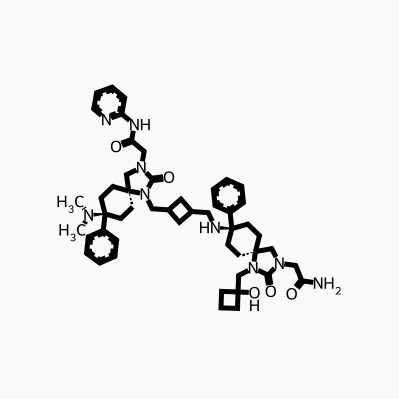 CN(C)[C@]1(c2ccccc2)CC[C@]2(CC1)CN(CC(=O)Nc1ccccn1)C(=O)N2CC1CC(CN[C@]2(c3ccccc3)CC[C@]3(CC2)CN(CC(N)=O)C(=O)N3CC2(O)CCC2)C1